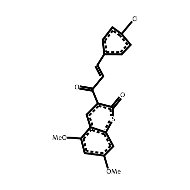 COc1cc(OC)c2cc(C(=O)/C=C/c3ccc(Cl)cc3)c(=O)sc2c1